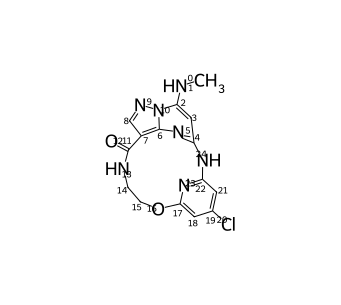 CNc1cc2nc3c(cnn13)C(=O)NCCOc1cc(Cl)cc(n1)N2